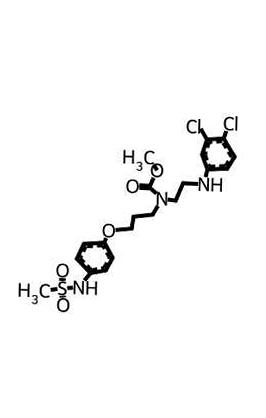 COC(=O)N(CCCOc1ccc(NS(C)(=O)=O)cc1)CCNc1ccc(Cl)c(Cl)c1